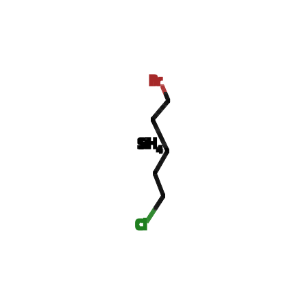 ClCCCCCBr.[SiH4]